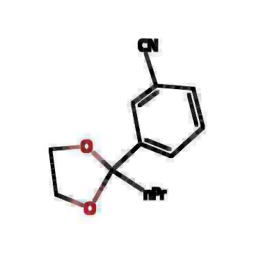 CCCC1(c2cccc(C#N)c2)OCCO1